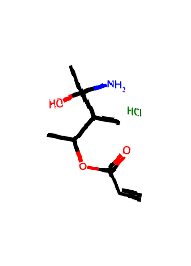 C=CC(=O)OC(C)C(C)C(C)(N)O.Cl